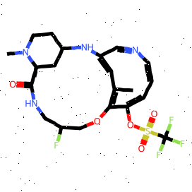 Cc1cc2cncccc(OS(=O)(=O)C(F)(F)F)c1OCC(F)CNC(=O)C1(C)CC(CCN1C)N2